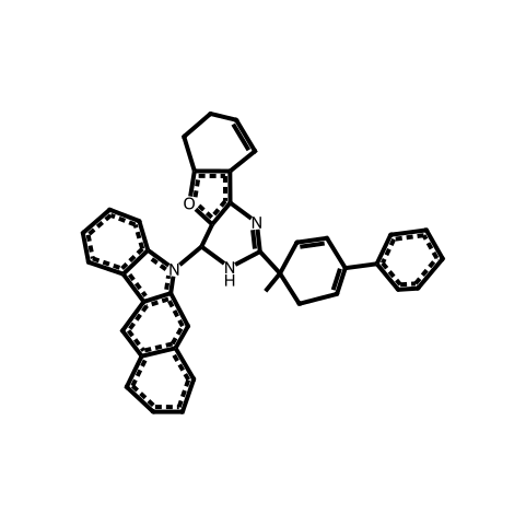 CC1(C2=Nc3c(oc4c3C=CCC4)C(n3c4ccccc4c4cc5ccccc5cc43)N2)C=CC(c2ccccc2)=CC1